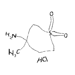 CC1(N)CCS(=O)(=O)C1.Cl